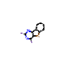 Ic1nc(I)c2sc3ccccc3c2n1